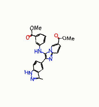 COC(=O)c1cccc(Nc2c(-c3ccc4[nH]nc(C)c4c3)nc3ccc(C(=O)OC)cn23)c1